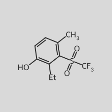 CCc1c(O)ccc(C)c1S(=O)(=O)C(F)(F)F